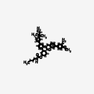 CCCCNC(=O)O[C@H]1CC[C@H](C(=O)N(CC23CCC(c4ccc(OC)c(C)c4)(CC2)CC3)c2cc(-c3cnn(C(C)(C)CC)c3)ccn2)CC1